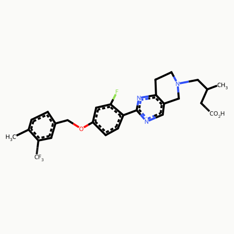 Cc1ccc(COc2ccc(-c3ncc4c(n3)CCN(CC(C)CC(=O)O)C4)c(F)c2)cc1C(F)(F)F